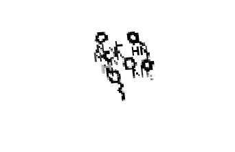 CCCCC1CCN(Nc2nc(NC3CCC(N)CC3)nc3c2ncn3C2CCCC2)CC1.c1ccc(CNCc2ccccc2)cc1